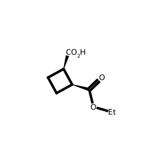 CCOC(=O)[C@H]1CC[C@H]1C(=O)O